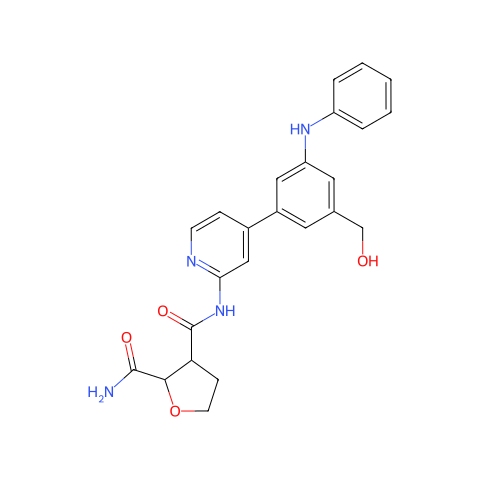 NC(=O)C1OCCC1C(=O)Nc1cc(-c2cc(CO)cc(Nc3ccccc3)c2)ccn1